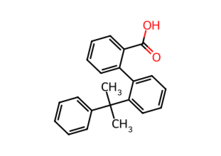 CC(C)(c1ccccc1)c1ccccc1-c1ccccc1C(=O)O